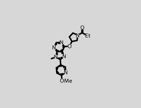 CCC(=O)N1CCC(Oc2ncnc3c2nc(-c2ccc(OC)nc2)n3C)C1